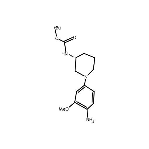 COc1cc(N2CCC[C@@H](NC(=O)OC(C)(C)C)C2)ccc1N